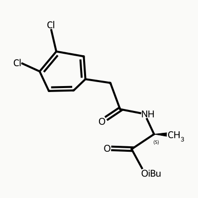 CC(C)COC(=O)[C@H](C)NC(=O)Cc1ccc(Cl)c(Cl)c1